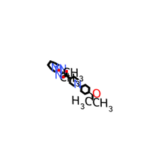 CC(C)C(=O)[C@H]1CC[C@H](N2CCC(c3cnc(N4C5CCC4CN(C(C)C)C5)nc3)CC2)CC1